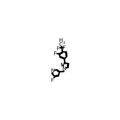 CC(F)(F)c1ccc(-c2ccn(Cc3cncc(F)c3)n2)cc1F